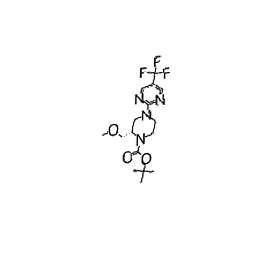 COC[C@@H]1CN(c2ncc(C(F)(F)F)cn2)CCN1C(=O)OC(C)(C)C